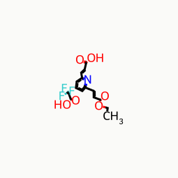 CCOC(=O)/C=C/c1cccc(/C=C/C(=O)O)n1.O=C(O)C(F)(F)F